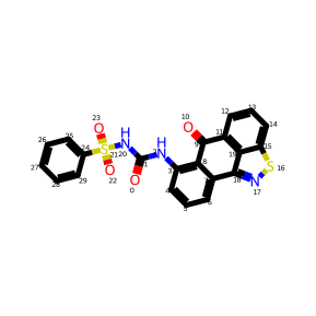 O=C(Nc1cccc2c1C(=O)c1cccc3snc-2c13)NS(=O)(=O)c1ccccc1